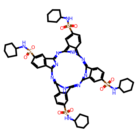 O=S(=O)(NC1CCCCC1)c1ccc2c(c1)-c1nc-2nc2[nH]c(nc3nc(nc4[nH]c(n1)c1cc(S(=O)(=O)NC5CCCCC5)ccc41)-c1ccc(S(=O)(=O)NC4CCCCC4)cc1-3)c1cc(S(=O)(=O)NC3CCCCC3)ccc21